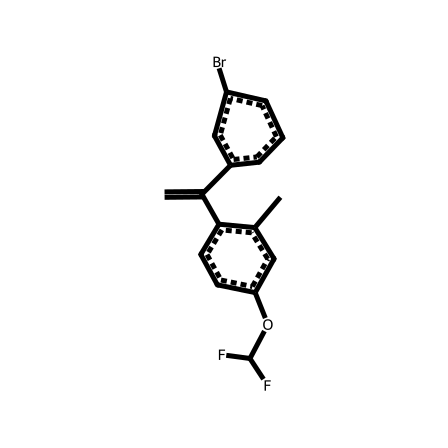 C=C(c1cccc(Br)c1)c1ccc(OC(F)F)cc1C